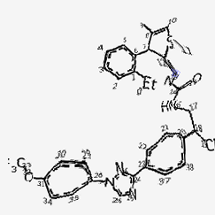 CCc1ccccc1C1C(C)=CS/C1=N\C(=O)NCC(C#N)c1ccc(-c2ncn(-c3ccc(OC(F)(F)F)cc3)n2)cc1